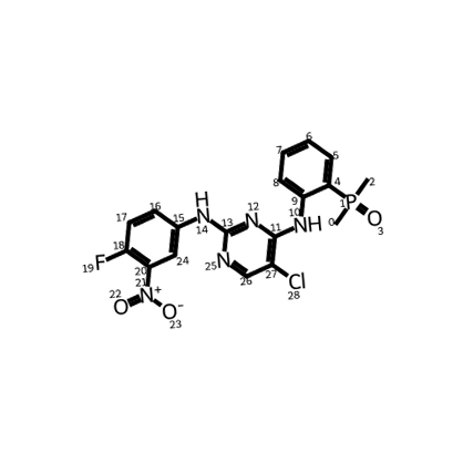 CP(C)(=O)c1ccccc1Nc1nc(Nc2ccc(F)c([N+](=O)[O-])c2)ncc1Cl